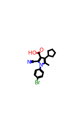 Cc1c(C2CCCC2)c(C(=O)O)c(C#N)n1-c1ccc(Br)cc1